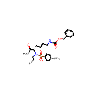 COC(=O)[C@H](CCCCNC(=O)OCc1ccccc1)N(CCC(C)C)S(=O)(=O)c1ccc([N+](=O)[O-])cc1